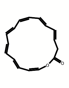 O=C1C/C=C/C=C/C=C\C=C\C=C\C=C\C=C/O1